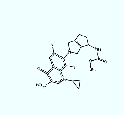 CC(C)(C)OC(=O)NC1CCC2=C1CN(c1c(F)cc3c(=O)c(C(=O)O)cn(C4CC4)c3c1F)C2